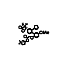 COc1ccc(OCC(=O)OC2CC[N+](C)(C)C2)c(-c2ccccc2C2=CCCC2)c1.O=C([O-])C(F)(F)F